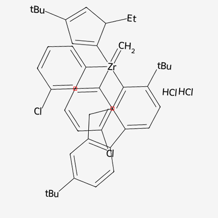 Cl.Cl.[CH2]=[Zr]([C]1=CC(C(C)(C)C)=CC1CC)([c]1cccc(Cl)c1)([c]1cccc(Cl)c1)[c]1c(C(C)(C)C)ccc2c1Cc1cc(C(C)(C)C)ccc1-2